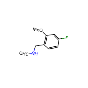 COc1cc(F)ccc1CNC=O